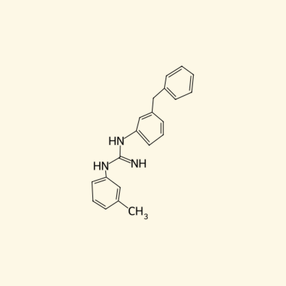 Cc1cccc(NC(=N)Nc2cccc(Cc3ccccc3)c2)c1